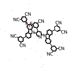 N#CC1=CC(c2ccc3c(c2)c2cc(-c4cc(C#N)cc(C#N)c4)ccc2n3-c2cc(-c3cc(C#N)cc(C(F)(F)F)c3)c(-n3c4ccc(-c5cc(C#N)cc(C#N)c5)cc4c4cc(-c5cc(C#N)cc(C#N)c5)ccc43)cn2)CC(C#N)=C1